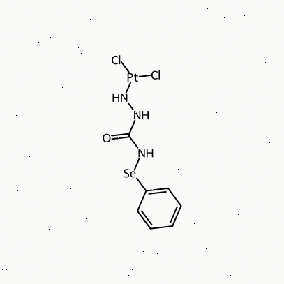 O=C(N[NH][Pt]([Cl])[Cl])N[Se]c1ccccc1